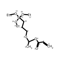 C=CC(=O)OC(C)OCCC[Si](OCC)(OCC)OCC